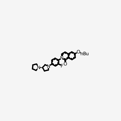 CCCCOc1ccc2c(=O)n(-c3ccc(N4CC[C@@H](N5CCCC5)C4)cc3F)ccc2c1